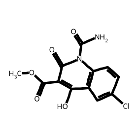 COC(=O)c1c(O)c2cc(Cl)ccc2n(C(N)=O)c1=O